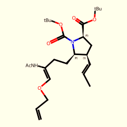 C=CCOC=C(CC[C@@H]1[C@H](C=CC)C[C@H](C(=O)OC(C)(C)C)N1C(=O)OC(C)(C)C)NC(C)=O